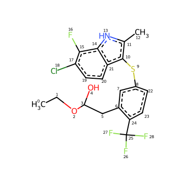 CCOC(O)Cc1cc(Sc2c(C)[nH]c3c(F)c(Cl)ccc23)ccc1C(F)(F)F